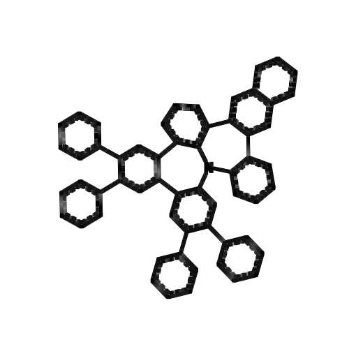 c1ccc(-c2cc3c(cc2-c2ccccc2)-c2cccc4c2N(c2ccccc2-c2cc5ccccc5cc2-4)c2cc(-c4ccccc4)c(-c4ccccc4)cc2-3)cc1